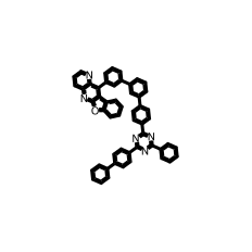 c1ccc(-c2ccc(-c3nc(-c4ccccc4)nc(-c4ccc(-c5cccc(-c6cccc(-c7c8ncccc8nc8oc9ccccc9c78)c6)c5)cc4)n3)cc2)cc1